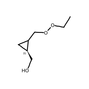 CCOOCC1C[C@@H]1CO